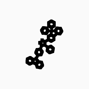 c1ccc(-n2c(-c3ccc(-n4c5ccccc5c5ccccc54)cc3)nnc2-c2ccc3c(c2)C(c2ccccc2)(c2ccccc2)c2ccccc2-3)cc1